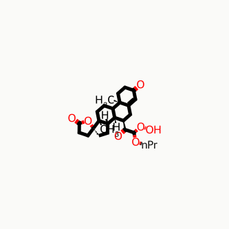 CCCOC(OO)C(=O)[C@@H]1CC2=CC(=O)CC[C@]2(C)C2CC[C@@]3(C)[C@@H](CC[C@@]34CCC(=O)O4)[C@@H]21